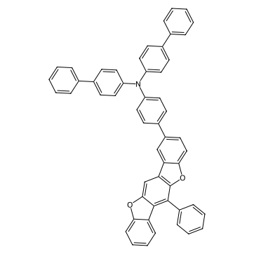 c1ccc(-c2ccc(N(c3ccc(-c4ccccc4)cc3)c3ccc(-c4ccc5oc6c(-c7ccccc7)c7c(cc6c5c4)oc4ccccc47)cc3)cc2)cc1